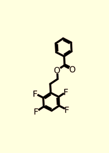 O=C(OCCc1c(F)c(F)cc(F)c1F)c1ccccc1